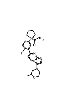 CC1CN(c2cnc3nc(-c4cc([N+]5(C(N)=O)CCCC5)ccc4F)ccn23)CCO1